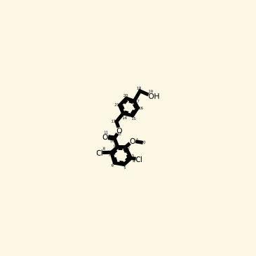 COc1c(Cl)ccc(Cl)c1C(=O)OCc1ccc(CO)cc1